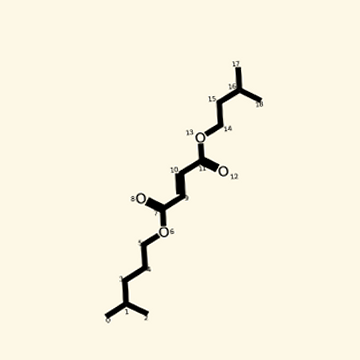 CC(C)CCCOC(=O)C=CC(=O)OCCC(C)C